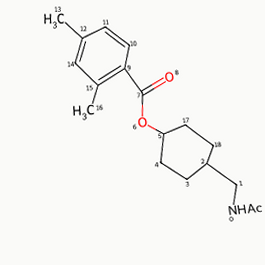 CC(=O)NCC1CCC(OC(=O)c2ccc(C)cc2C)CC1